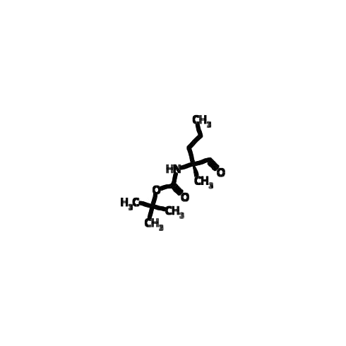 CCC[C@](C)(C=O)NC(=O)OC(C)(C)C